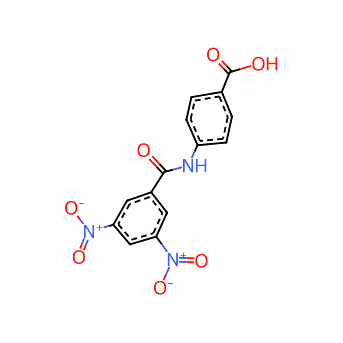 O=C(O)c1ccc(NC(=O)c2cc([N+](=O)[O-])cc([N+](=O)[O-])c2)cc1